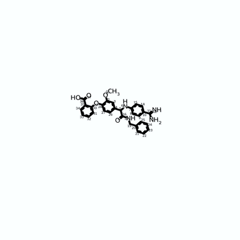 COc1cc(C(Nc2ccc(C(=N)N)cc2)C(=O)NCc2ccccc2)ccc1Oc1ccccc1C(=O)O